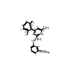 CNc1cccc(SNc2nc(O)cc(-c3c(C)cccc3C)n2)c1